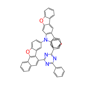 c1ccc(-c2nc(-c3ccccc3)nc(-c3cc4ccccc4c4oc5ccc(-n6c7ccccc7c7cc8c(cc76)oc6ccccc68)cc5c34)n2)cc1